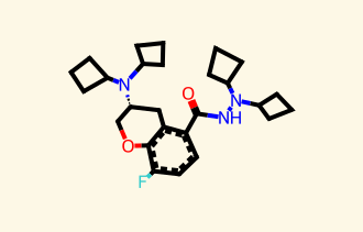 O=C(NN(C1CCC1)C1CCC1)c1ccc(F)c2c1C[C@@H](N(C1CCC1)C1CCC1)CO2